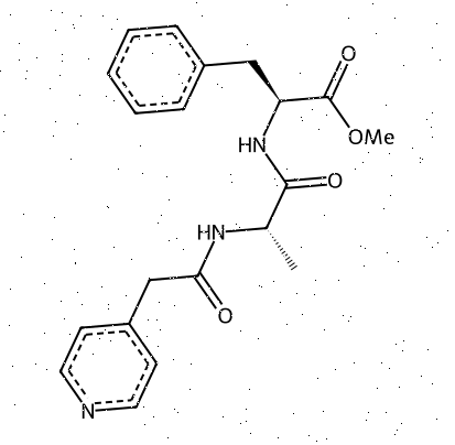 COC(=O)[C@H](Cc1ccccc1)NC(=O)[C@H](C)NC(=O)Cc1ccncc1